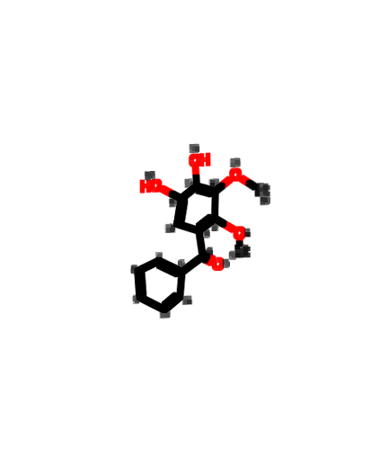 CCOc1c(C(=O)c2ccccc2)cc(O)c(O)c1OCC